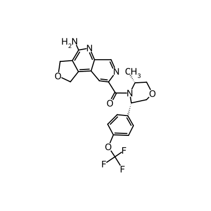 C[C@@H]1COC[C@H](c2ccc(OC(F)(F)F)cc2)N1C(=O)c1cc2c3c(c(N)nc2cn1)COC3